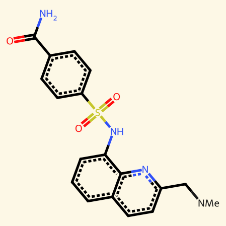 CNCc1ccc2cccc(NS(=O)(=O)c3ccc(C(N)=O)cc3)c2n1